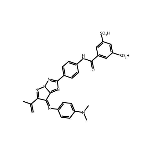 C=C(C)C1=Nn2nc(-c3ccc(NC(=O)c4cc(S(=O)(=O)O)cc(S(=O)(=O)O)c4)cc3)nc2/C1=N\c1ccc(N(C)C)cc1